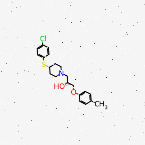 Cc1ccc(OC[C@@H](O)CN2CCC(Sc3ccc(Cl)cc3)CC2)cc1